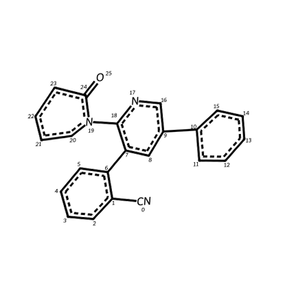 N#Cc1ccccc1-c1cc(-c2ccccc2)cnc1-n1ccccc1=O